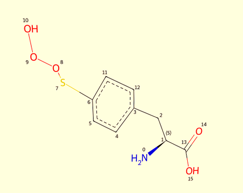 N[C@@H](Cc1ccc(SOOO)cc1)C(=O)O